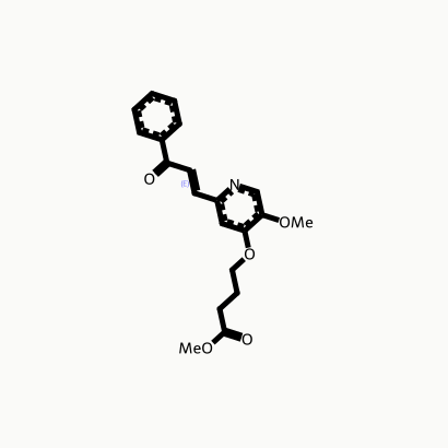 COC(=O)CCCOc1cc(/C=C/C(=O)c2ccccc2)ncc1OC